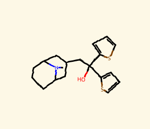 CN1C2CCCC1CC(CC(O)(c1cccs1)c1cccs1)C2